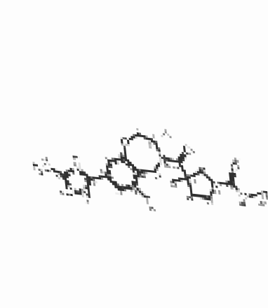 C[C@H]1COc2cc(-c3noc(C(F)(F)F)n3)cc(F)c2CN1C(=O)C1(C)CCN(C(=O)OC(C)(C)C)C1